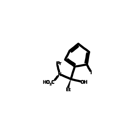 CC[C@@](O)(c1ccccc1I)N(C(=O)O)C(C)C